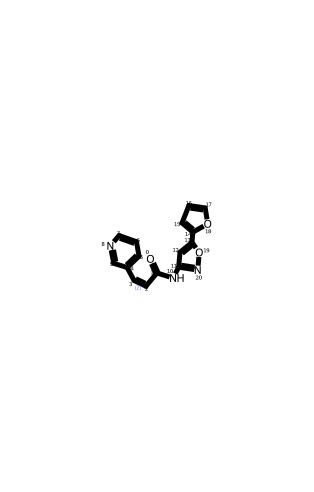 O=C(/C=C\c1cccnc1)Nc1cc(-c2ccco2)on1